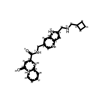 O=C(NCc1cnc2cc(CNCC3CCC3)[nH]c2c1)c1cc(=O)n2ccccc2n1